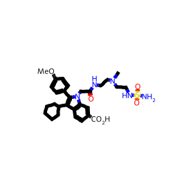 COc1ccc(-c2c(C3CCCCC3)c3ccc(C(=O)O)cc3n2CC(=O)NCCN(C)CCNS(N)(=O)=O)cc1